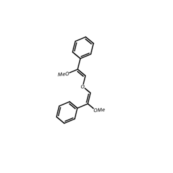 COC(=COC=C(OC)c1ccccc1)c1ccccc1